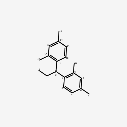 CCP(c1ccc(C)cc1C)c1ccc(C)cc1C